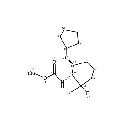 CC(C)(C)OC(=O)N[C@@H]1[C@@H](OC2CCCC2)CCCC1(F)F